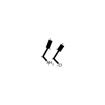 C#CCCl.C#CCN